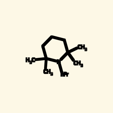 CCCN1C(C)(C)CCCC1(C)C